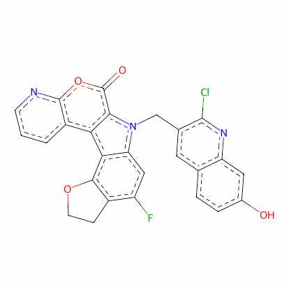 O=c1oc2ncccc2c2c3c4c(c(F)cc3n(Cc3cc5ccc(O)cc5nc3Cl)c12)CCO4